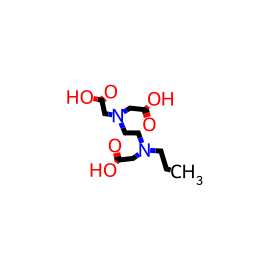 CCCN(CCN(CC(=O)O)CC(=O)O)CC(=O)O